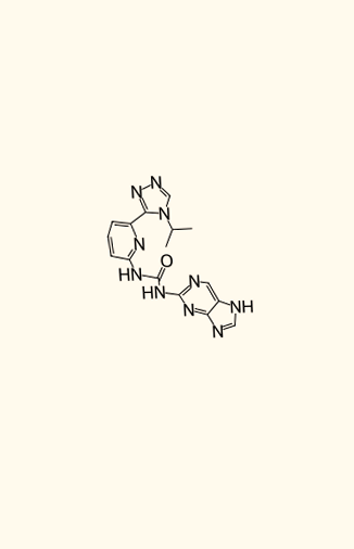 CC(C)n1cnnc1-c1cccc(NC(=O)Nc2ncc3[nH]cnc3n2)n1